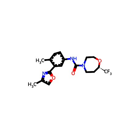 Cc1coc(-c2cc(NC(=O)N3CCO[C@H](C(F)(F)F)CC3)ccc2C)n1